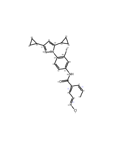 C\C=C/C(=C\C=N\Cl)C(=O)Nc1ccc(-n2nc(C3CC3)cc2C2CC2)c(F)c1